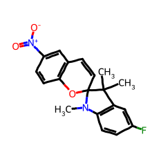 CN1c2ccc(F)cc2C(C)(C)C12C=Cc1cc([N+](=O)[O-])ccc1O2